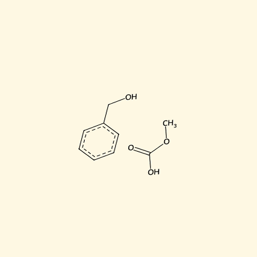 COC(=O)O.OCc1ccccc1